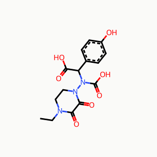 CCN1CCN(N(C(=O)O)C(C(=O)O)c2ccc(O)cc2)C(=O)C1=O